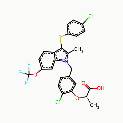 Cc1c(Sc2ccc(Cl)cc2)c2ccc(OC(F)(F)F)cc2n1Cc1ccc(Cl)c(O[C@@H](C)C(=O)O)c1